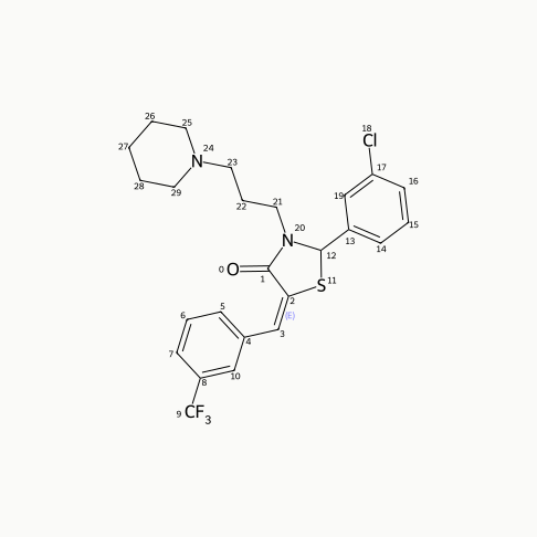 O=C1/C(=C\c2cccc(C(F)(F)F)c2)SC(c2cccc(Cl)c2)N1CCCN1CCCCC1